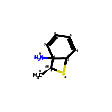 C[C@H]1SC2C=CC=CC21N